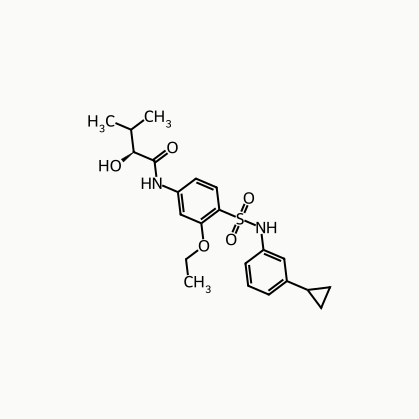 CCOc1cc(NC(=O)[C@@H](O)C(C)C)ccc1S(=O)(=O)Nc1cccc(C2CC2)c1